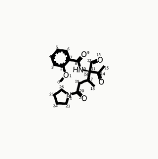 COc1ccccc1C(=O)N[C@@]([C]=O)(C(C)=O)C(C)CC(=O)N1CCCC1